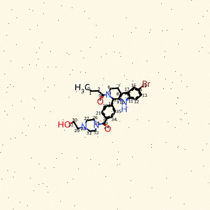 CCCC(=O)N1CCc2c([nH]c3ccc(Br)cc23)C1c1ccc(C(=O)N2CCN(CCO)CC2)cc1